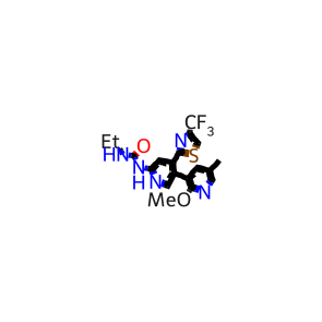 CCNC(=O)Nc1cc(-c2nc(C(F)(F)F)cs2)c(-c2cc(C)cnc2OC)cn1